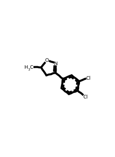 CC1CC(c2ccc(Cl)c(Cl)c2)=NO1